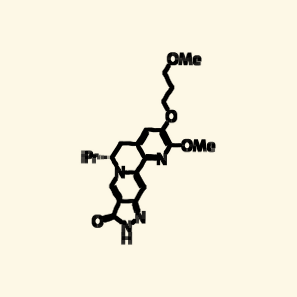 COCCCOc1cc2c(nc1OC)-c1cc3n[nH]c(=O)c-3cn1[C@H](C(C)C)C2